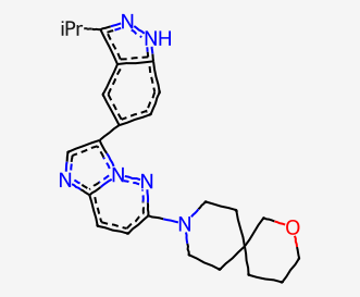 CC(C)c1n[nH]c2ccc(-c3cnc4ccc(N5CCC6(CCCOC6)CC5)nn34)cc12